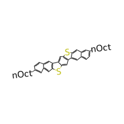 CCCCCCCCc1ccc2cc3c(cc2c1)sc1cc2c(cc13)sc1cc3cc(CCCCCCCC)ccc3cc12